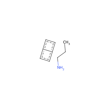 CCCN.c1cc2ccc1-2